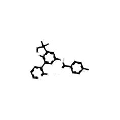 COc1ncccc1-c1cc(NC(=O)c2ccc(C)cc2)cc2c1OCC2(C)C